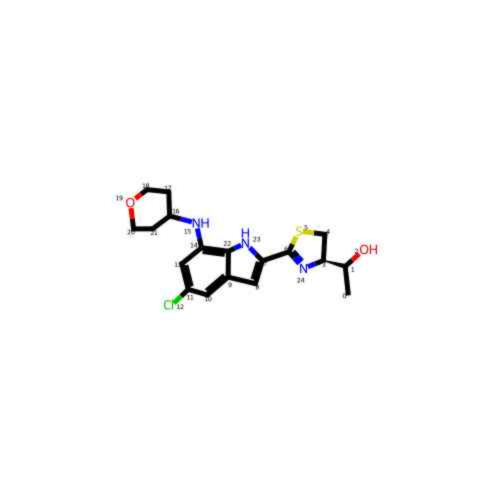 CC(O)[C@@H]1CSC(c2cc3cc(Cl)cc(NC4CCOCC4)c3[nH]2)=N1